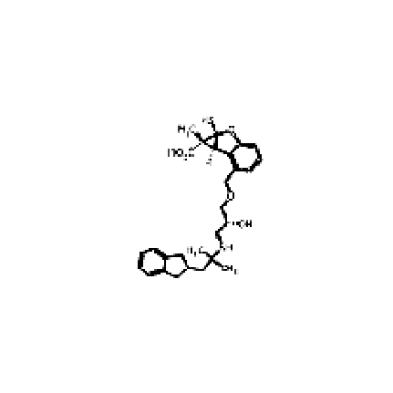 CC(C)(CC1Cc2ccccc2C1)NC[C@@H](O)COCc1cccc2c1[C@H]1[C@](C)(C(=O)O)[C@]1(S)O2